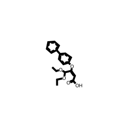 CCOC(OCC)C(=CC(=O)O)Oc1ccc(-c2ccccc2)cc1